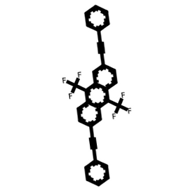 FC(F)(F)c1c2ccc(C#Cc3ccccc3)cc2c(C(F)(F)F)c2ccc(C#Cc3ccccc3)cc12